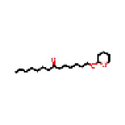 CCCCCCCC(=O)CCCCCCOC1CCCCO1